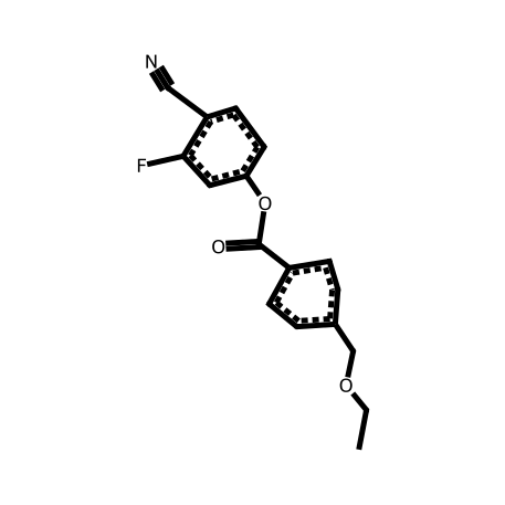 CCOCc1ccc(C(=O)Oc2ccc(C#N)c(F)c2)cc1